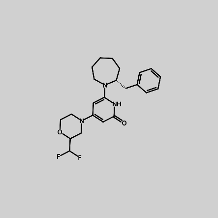 O=c1cc(N2CCOC(C(F)F)C2)cc(N2CCCCC[C@@H]2Cc2ccccc2)[nH]1